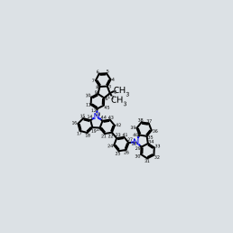 CC1(C)c2ccccc2-c2ccc(-n3c4ccccc4c4cc(-c5cccc(-n6c7ccccc7c7ccccc76)c5)ccc43)cc21